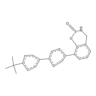 CC(C)(C)c1ccc(-c2ccc(-c3cccc4c3OS(=O)NC4)cc2)cc1